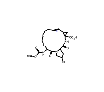 CC(C)(C)OC(=O)NC1CCCCC/C=C/C2CC2(C(=O)O)NC(=O)C2CC(O)CN2C1=O